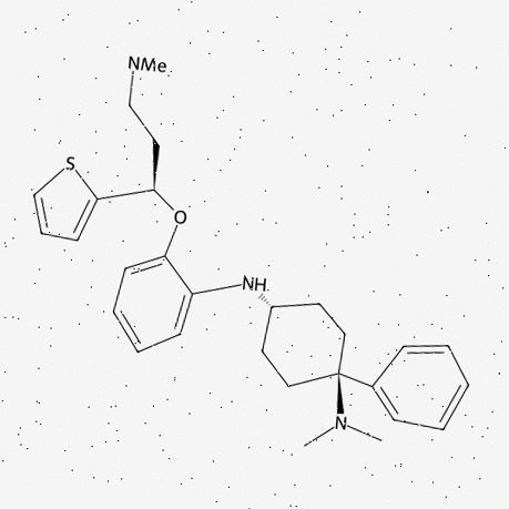 CNCC[C@@H](Oc1ccccc1N[C@H]1CC[C@](c2ccccc2)(N(C)C)CC1)c1cccs1